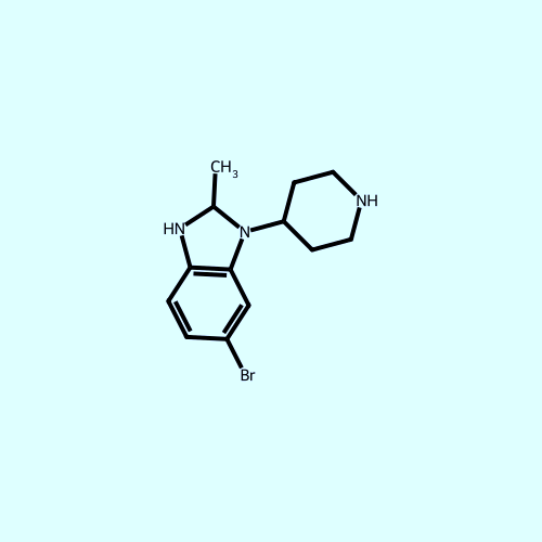 CC1Nc2ccc(Br)cc2N1C1CCNCC1